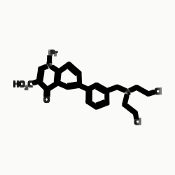 CC(C)n1cc(C(=O)O)c(=O)c2cc(-c3cccc(CN(CCCl)CCCl)c3)ccc21